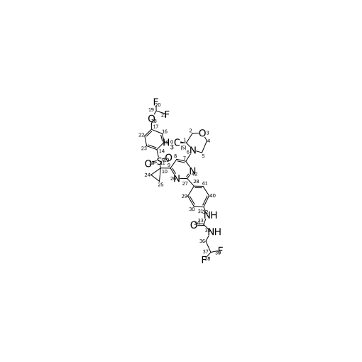 C[C@H]1COCCN1c1cc(C2(S(=O)(=O)c3ccc(OC(F)F)cc3)CC2)nc(-c2ccc(NC(=O)NCC(F)F)cc2)n1